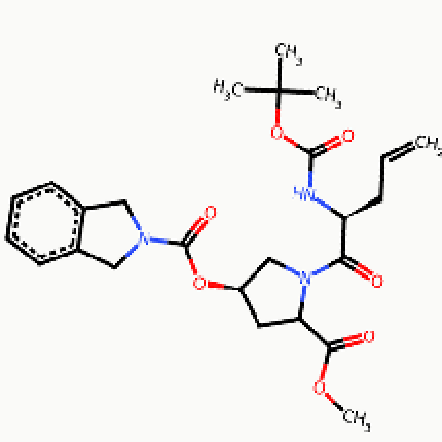 C=CC[C@H](NC(=O)OC(C)(C)C)C(=O)N1C[C@H](OC(=O)N2Cc3ccccc3C2)CC1C(=O)OC